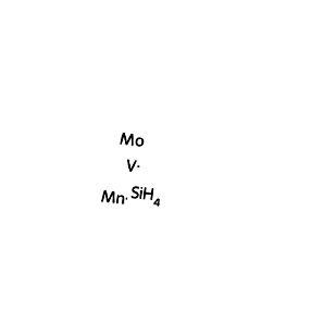 [Mn].[Mo].[SiH4].[V]